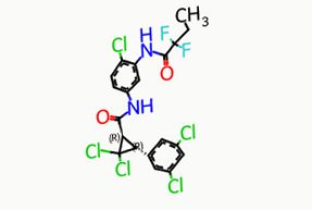 CCC(F)(F)C(=O)Nc1cc(NC(=O)[C@H]2[C@H](c3cc(Cl)cc(Cl)c3)C2(Cl)Cl)ccc1Cl